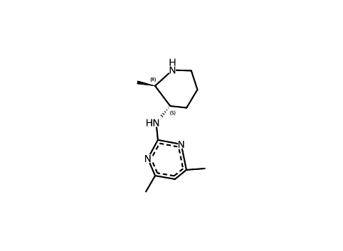 Cc1cc(C)nc(N[C@H]2CCCN[C@@H]2C)n1